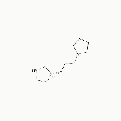 C1CCN(CCO[C@@H]2CCNC2)C1